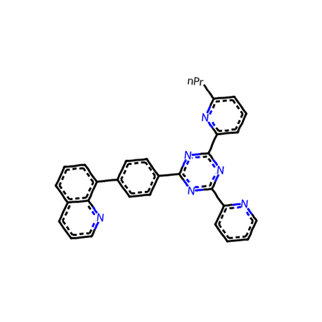 CCCc1cccc(-c2nc(-c3ccc(-c4cccc5cccnc45)cc3)nc(-c3ccccn3)n2)n1